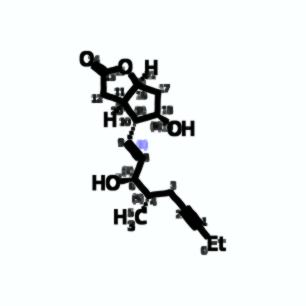 CCC#CC[C@H](C)[C@@H](O)/C=C/[C@@H]1[C@H]2CC(=O)O[C@H]2C[C@H]1O